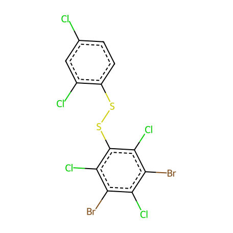 Clc1ccc(SSc2c(Cl)c(Br)c(Cl)c(Br)c2Cl)c(Cl)c1